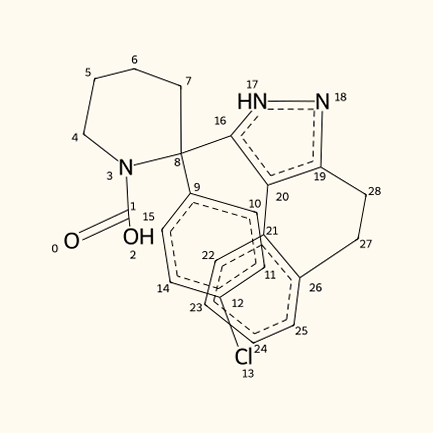 O=C(O)N1CCCCC1(c1ccc(Cl)cc1)c1[nH]nc2c1-c1ccccc1CC2